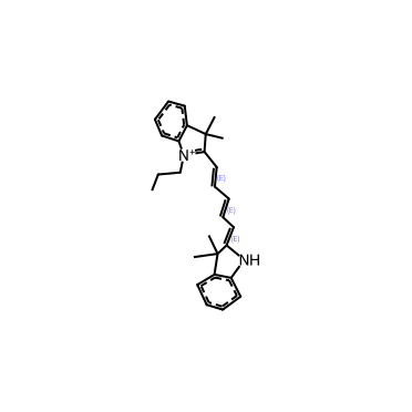 CCC[N+]1=C(/C=C/C=C/C=C2/Nc3ccccc3C2(C)C)C(C)(C)c2ccccc21